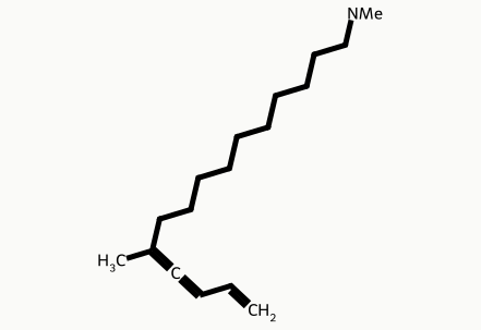 C=CC=C=C(C)CCCCCCCCCCNC